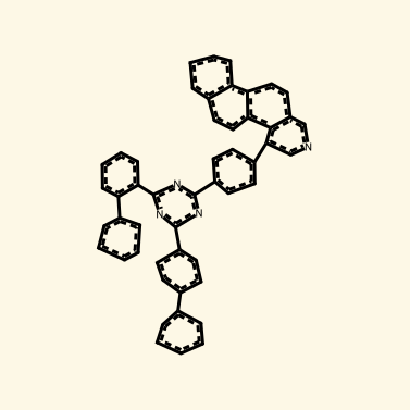 c1ccc(-c2ccc(-c3nc(-c4ccc(-c5cncc6ccc7c8ccccc8ccc7c56)cc4)nc(-c4ccccc4-c4ccccc4)n3)cc2)cc1